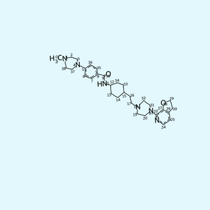 CN1CCN(c2ccc(C(=O)NC3CCC(CCN4CCN(c5nccc6c5OCC6)CC4)CC3)cc2)CC1